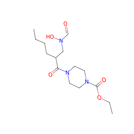 CCCCC(CN(O)C=O)C(=O)N1CCN(C(=O)OCC)CC1